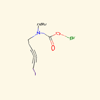 CCCCN(CC#CI)C(=O)OBr